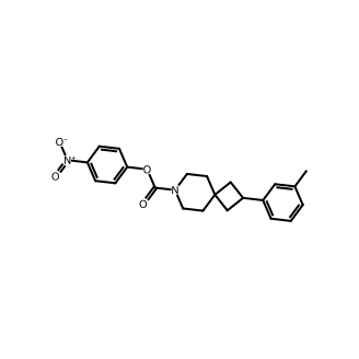 Cc1cccc(C2CC3(CCN(C(=O)Oc4ccc([N+](=O)[O-])cc4)CC3)C2)c1